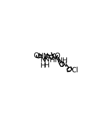 CC1(C)C2=CNC(NC3CCOCC3)NC2CN1C(=O)NN[C@@H]1CCCN(Cc2cccc(Cl)c2)C1